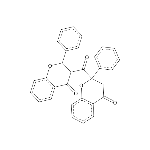 O=C1CC(C(=O)C2C(=O)c3ccccc3OC2c2ccccc2)(c2ccccc2)Oc2ccccc21